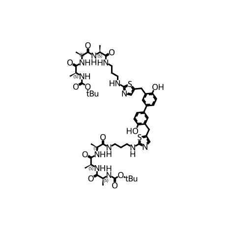 C[C@H](NC(=O)OC(C)(C)C)C(=O)N[C@@H](C)C(=O)N[C@@H](C)C(=O)NCCCNc1ncc(Cc2cc(-c3ccc(O)c(Cc4cnc(NCCCNC(=O)[C@H](C)NC(=O)[C@H](C)NC(=O)[C@H](C)NC(=O)OC(C)(C)C)s4)c3)ccc2O)s1